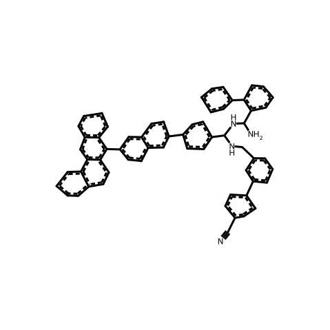 N#Cc1ccc(-c2cccc(CNC(NC(N)c3ccccc3-c3ccccc3)c3ccc(-c4ccc5cc(-c6c7ccccc7cc7c6ccc6ccccc67)ccc5c4)cc3)c2)cc1